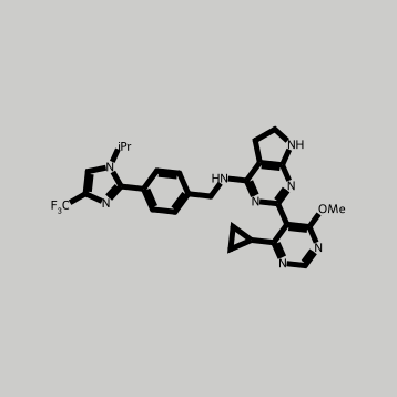 COc1ncnc(C2CC2)c1-c1nc2c(c(NCc3ccc(-c4nc(C(F)(F)F)cn4C(C)C)cc3)n1)CCN2